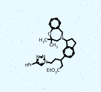 CCCc1cn(CCC(CC(=O)OCC)c2ccc3c(c2)C(N2Cc4ccccc4OC(C)(C)C2)CC3)nn1